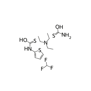 CCN(CC)CC.FC(F)F.NC(O)=S.OC(=S)Nc1cccs1